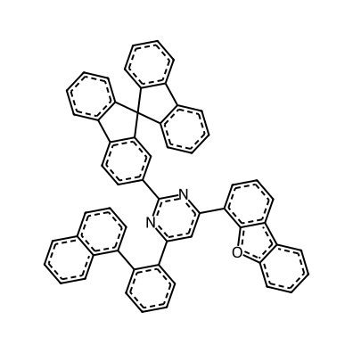 c1ccc(-c2cccc3ccccc23)c(-c2cc(-c3cccc4c3oc3ccccc34)nc(-c3ccc4c(c3)C3(c5ccccc5-c5ccccc53)c3ccccc3-4)n2)c1